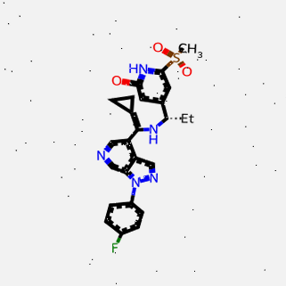 CC[C@H](NC(=C1CC1)c1cncc2c1cnn2-c1ccc(F)cc1)c1cc(S(C)(=O)=O)[nH]c(=O)c1